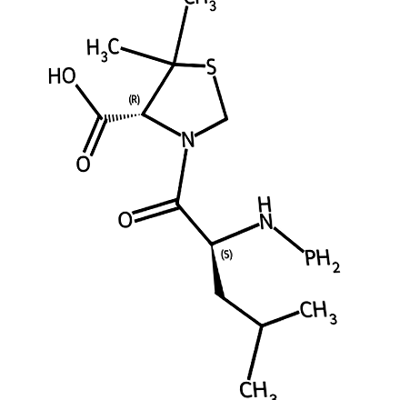 CC(C)C[C@H](NP)C(=O)N1CSC(C)(C)[C@H]1C(=O)O